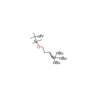 CCC[CH2][Sn]([CH]=CCCO[Si](C)(C)C(C)(C)CCC)([CH2]CCC)[CH2]CCC